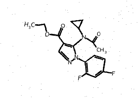 CCOC(=O)c1cnn(-c2ccc(F)cc2F)c1N(C(C)=O)C1CC1